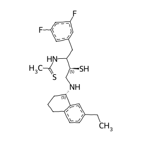 CCc1ccc2c(c1)[C@@H](NC[C@H](S)C(Cc1cc(F)cc(F)c1)NC(C)=S)CCC2